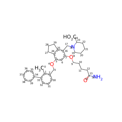 Cc1c(COc2cc(OCCCCC(N)=O)c(CN3CCCCC3C(=O)O)c3c2CCC3)cccc1-c1ccccc1